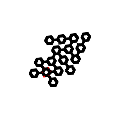 c1ccc(-c2ccc(-c3ccccc3-c3cc(-c4ccccc4-c4ccc(-c5ccccc5)nc4)cc(-c4cccc(-c5cc(-c6ccccc6-c6ccc(-c7ccccc7)nc6)cc(-c6ccccc6-c6ccc(-c7ccccc7)nc6)c5)c4-c4ccc(-c5ncccn5)cc4)c3)cn2)cc1